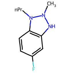 CCCN1c2ccc(F)cc2NN1C